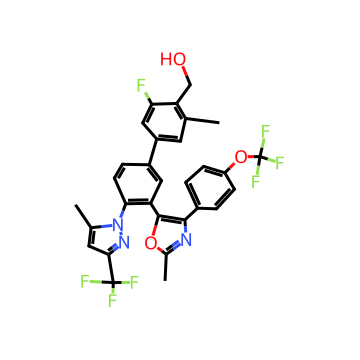 Cc1nc(-c2ccc(OC(F)(F)F)cc2)c(-c2cc(-c3cc(C)c(CO)c(F)c3)ccc2-n2nc(C(F)(F)F)cc2C)o1